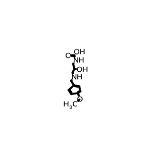 COc1ccc(CNCC(O)CNC(=O)O)cc1